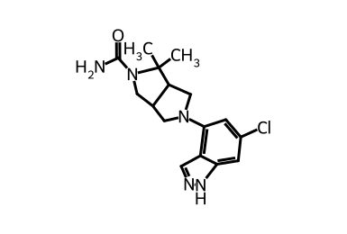 CC1(C)C2CN(c3cc(Cl)cc4[nH]ncc34)CC2CN1C(N)=O